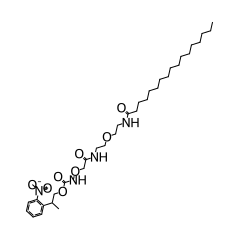 CCCCCCCCCCCCCCCCC(=O)NCCOCCNC(=O)CONC(=O)OCC(C)c1ccccc1[N+](=O)[O-]